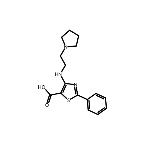 O=C(O)c1sc(-c2ccccc2)nc1NCCN1CCCC1